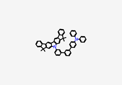 CC1(C)c2ccccc2-c2cc3c4cc5c(cc4n(-c4cccc(-c6cccc(-c7ccc(N(c8ccccc8)c8ccccc8)cc7)c6)c4)c3cc21)C(C)(C)c1ccccc1-5